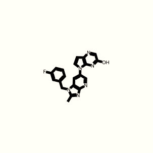 Cc1nc2ncc(-n3ccc4ncc(O)nc43)cc2n1Cc1cccc(F)c1